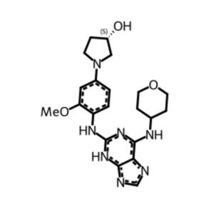 COc1cc(N2CC[C@H](O)C2)ccc1Nc1nc(NC2CCOCC2)c2ncnc-2[nH]1